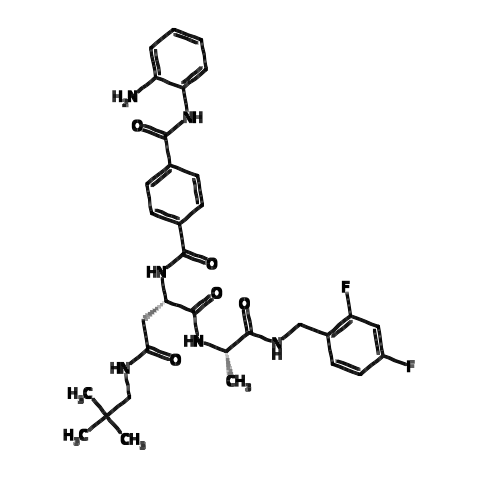 C[C@H](NC(=O)[C@H](CC(=O)NCC(C)(C)C)NC(=O)c1ccc(C(=O)Nc2ccccc2N)cc1)C(=O)NCc1ccc(F)cc1F